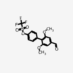 COc1cc(C=O)cc(OC)c1-c1ccc(OS(=O)(=O)C(F)(F)F)cc1